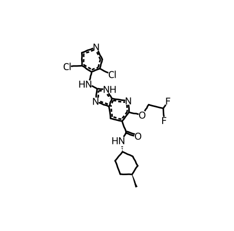 C[C@H]1CC[C@H](NC(=O)c2cc3nc(Nc4c(Cl)cncc4Cl)[nH]c3nc2OCC(F)F)CC1